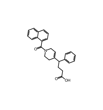 O=C(O)CCC(C1=CCN(C(=O)c2cccc3ccccc23)CC1)c1ccccc1